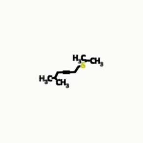 CC(C)CC#CCCSC(C)C